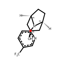 O[C@H]1C[C@H]2CC[C@@H](C1)N2c1ccc(C(F)(F)F)cn1